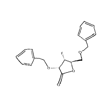 O=C1O[C@H](COCc2ccccc2)[C@@H](F)[C@H]1OCc1ccccc1